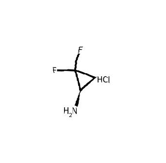 Cl.N[C@@H]1CC1(F)F